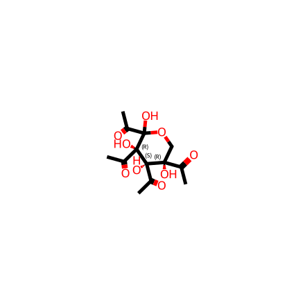 CC(=O)C1(O)OC[C@](O)(C(C)=O)[C@@](O)(C(C)=O)[C@]1(O)C(C)=O